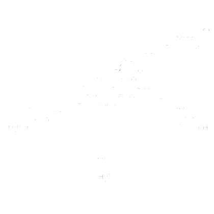 C=CC(=O)CCCCCC(=O)OC1C(OC(=O)CCCCOC(=O)C=C)OC[C@@H](OC(=O)CCCCOC(=O)C=C)C1OC(=O)CCCCOC(=O)C=C